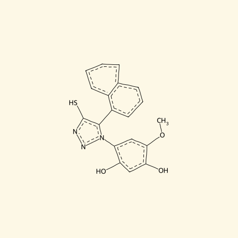 COc1cc(-n2nnc(S)c2-c2cccc3ccccc23)c(O)cc1O